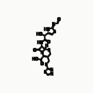 O=CN=c1[nH]c(C(O)C(=O)NC2C(=O)N3C(C(=O)O)=C(CSc4nncs4)CS[C@@H]23)cs1